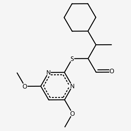 COc1cc(OC)nc(SC(C=O)C(C)C2CCCCC2)n1